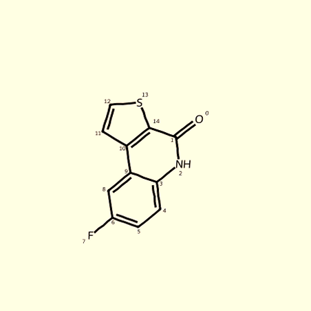 O=c1[nH]c2ccc(F)cc2c2ccsc12